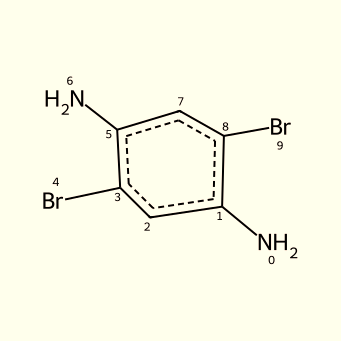 Nc1cc(Br)c(N)cc1Br